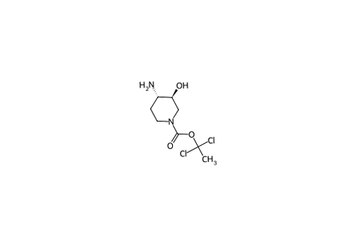 CC(Cl)(Cl)OC(=O)N1CC[C@H](N)[C@@H](O)C1